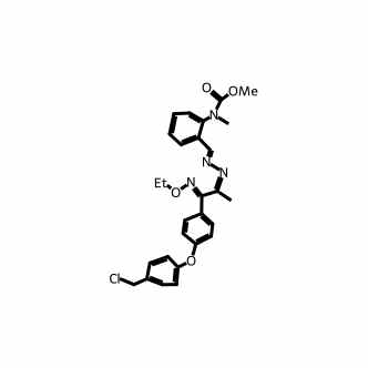 CCON=C(C(C)=NN=Cc1ccccc1N(C)C(=O)OC)c1ccc(Oc2ccc(CCl)cc2)cc1